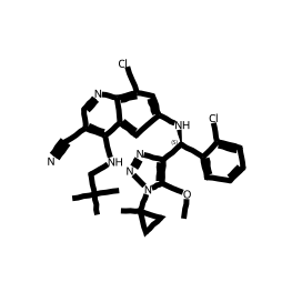 COc1c([C@@H](Nc2cc(Cl)c3ncc(C#N)c(NCC(C)(C)C)c3c2)c2ccccc2Cl)nnn1C1(C)CC1